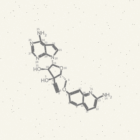 C#C[C@@]1(O)[C@@H](COc2ccc3ccc(N)nc3c2)O[C@@H](n2ccc3c(N)ncnc32)[C@@H]1O